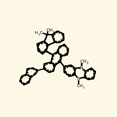 CN1c2ccccc2N(C)c2cc(-c3c4ccccc4c(-c4cccc5c4-c4ccccc4C5(C)C)c4cc(-c5ccc6ccccc6c5)ccc34)ccc21